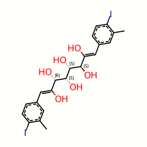 Cc1cc(C=C(O)[C@@H](O)[C@@H](O)[C@H](O)[C@@H](O)C(O)=Cc2ccc(I)c(C)c2)ccc1I